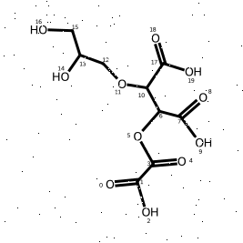 O=C(O)C(=O)OC(C(=O)O)C(OCC(O)CO)C(=O)O